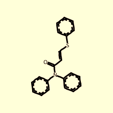 O=C(C=CSc1ccccc1)N(c1ccccc1)c1ccccc1